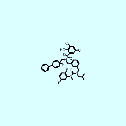 CC(C)CN(Cc1cccc(CN(CC2(F)C=CC(c3ccccc3)C=C2)S(=O)(=O)c2cc(Cl)cc(Cl)c2O)c1)C(=O)N(C)c1cc(F)ccc1F